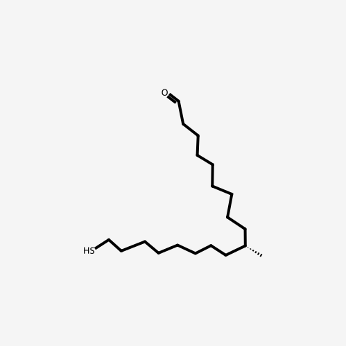 C[C@H](CCCCCCCCS)CCCCCCCCC=O